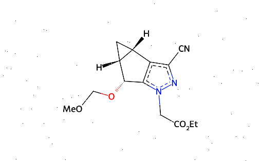 CCOC(=O)Cn1nc(C#N)c2c1[C@H](OCOC)[C@@H]1C[C@H]21